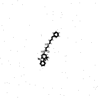 CN1c2ccccc2C2(C)C1C[C@@H](NC(=O)CCNCCCCc1ccccc1)CC2(C)C